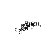 COC(=O)NC(=O)CCN1CCN(c2ccc(Oc3cc(CN4CCC(CNC(C)=O)CC4)cc(-c4cc(Cl)cc(Cl)c4)n3)cn2)CC1